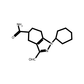 NC(=O)C1CCc2c(c(C=O)nn2C2CCCCC2)C1